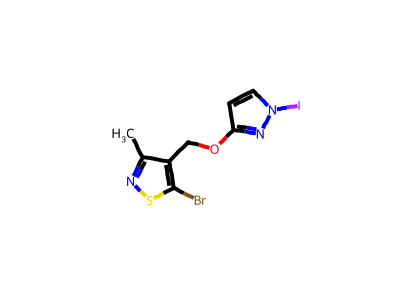 Cc1nsc(Br)c1COc1ccn(I)n1